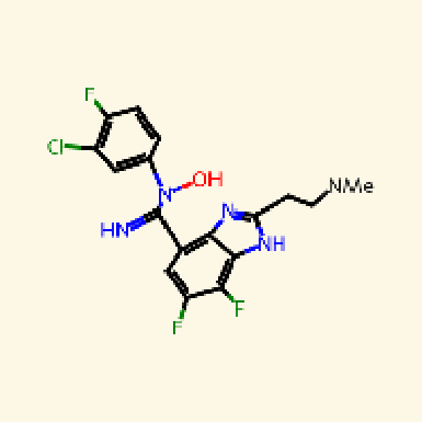 CNCCc1nc2c(C(=N)N(O)c3ccc(F)c(Cl)c3)cc(F)c(F)c2[nH]1